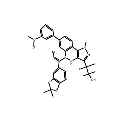 Cn1nc(C(F)(F)C(C)(C)O)c2c1-c1ccc(-c3cccc([S+](C)[O-])c3)cc1N(/C(=C\N)c1ccc3c(c1)OC(F)(F)O3)N2